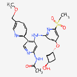 COCc1ccc(-c2cnc(NC(C)=O)cc2Nc2cc(O[C@H]3C[C@H](O)C3)cc(S(C)(=O)=O)n2)nc1